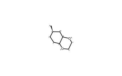 C[C@@H]1CCC2OCCOC2C1